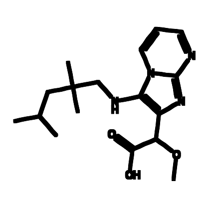 COC(C(=O)O)c1nc2ncccn2c1NCC(C)(C)CC(C)C